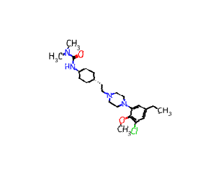 CCc1cc(Cl)c(OC)c(N2CCN(CC[C@H]3CC[C@H](NC(=O)N(C)C)CC3)CC2)c1